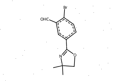 CC1(C)COC(c2ccc(Br)c(C=O)c2)=N1